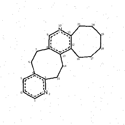 c1cnc2c(c1)CCc1cnc3c(c1CC2)CCCCCC3